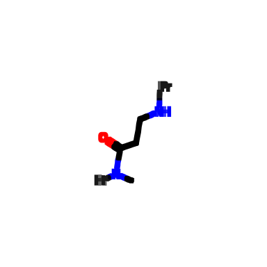 CCN(C)C(=O)CCNC(C)C